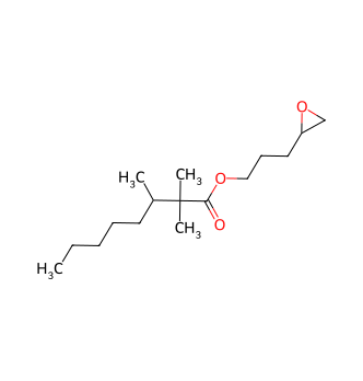 CCCCCC(C)C(C)(C)C(=O)OCCCC1CO1